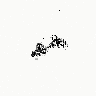 CC(C)(C)C1CC(OCCCc2cccc3c2c2cccnc2n3C2CCC(=O)NC2=O)CCN1C(=O)O